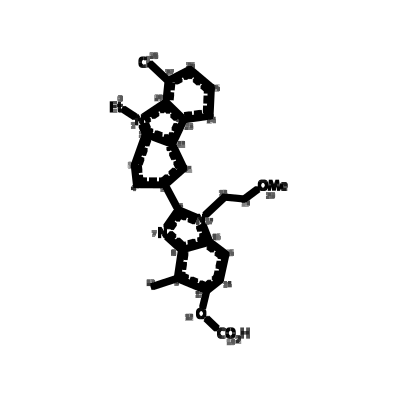 CCn1c2ccc(-c3nc4c(C)c(OC(=O)O)ccc4n3CCOC)cc2c2cccc(Cl)c21